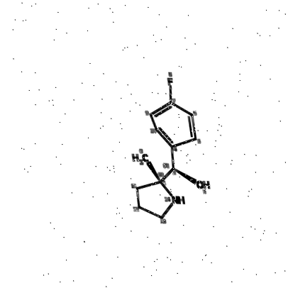 C[C@]1([C@H](O)c2ccc(F)cc2)CCCN1